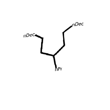 [C]CCC(CCCCCCCCCCCC)CCCCCCCCCCCC